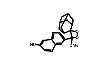 COC1(c2ccc3cc(O)ccc3c2)OOC12C1CC3CC(C1)CC2C3